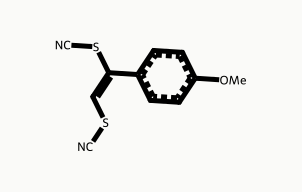 COc1ccc(/C(=C\SC#N)SC#N)cc1